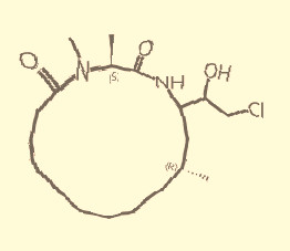 C[C@@H]1CCCCCCCCC(=O)N(C)[C@@H](C)C(=O)NC(C(O)CCl)C1